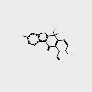 C=CCC1=C(/C=C\CO)C(C)(C)c2[nH]c3cc(Br)ccc3c2C1=O